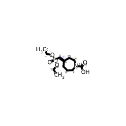 CCOP(=O)(/C=C1\CCCN(C(=O)O)CC1)OCC